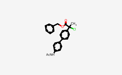 CC(=O)Nc1ccc(-c2ccc(C(C)(Cl)C(=O)OCc3ccccc3)cc2)cc1